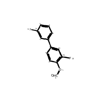 O=COc1ccc(-c2cccc(F)c2)cc1F